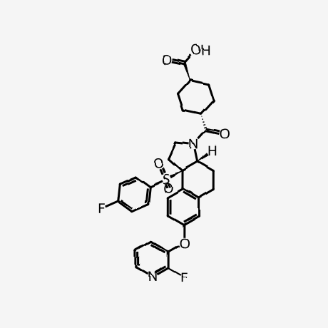 O=C(O)[C@H]1CC[C@H](C(=O)N2CC[C@@]3(S(=O)(=O)c4ccc(F)cc4)c4ccc(Oc5cccnc5F)cc4CC[C@@H]23)CC1